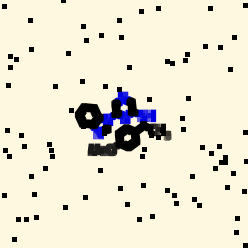 COc1ccc(C(C)Nc2cncc(-n3cnc4ccccc43)n2)cc1